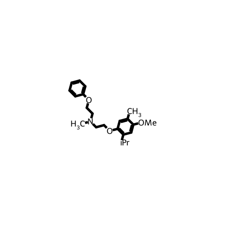 COc1cc(C(C)C)c(OCCN(C)CCOc2ccccc2)cc1C